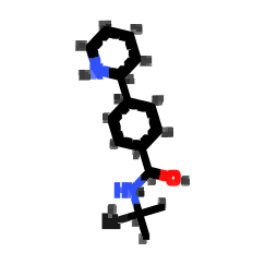 CCC(C)(C)NC(=O)c1ccc(-c2ccccn2)cc1